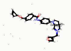 O=C(Nc1ccc(N2CC[C@@H]3CN(Cc4ccoc4)C[C@@H]32)cc1)c1ccc(COC2CCC2)cc1